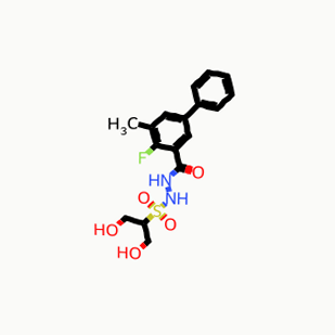 Cc1cc(-c2ccccc2)cc(C(=O)NNS(=O)(=O)C(CO)CO)c1F